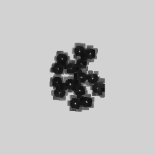 Cc1ccc(-c2cccc(-c3cc(-n4c5ccc(-n6c7ccccc7c7ccccc76)cc5c5cc(-n6c7ccccc7c7ccccc76)ccc54)nc(-n4c5ccc(-n6c7ccccc7c7ccccc76)cc5c5cc(-n6c7ccccc7c7ccccc76)ccc54)c3)c2)c(C)n1